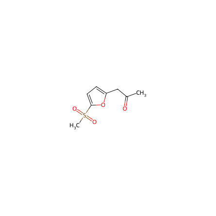 CC(=O)Cc1ccc(S(C)(=O)=O)o1